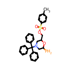 Cc1ccc(S(=O)(=O)OCC2CN(C(c3ccccc3)(c3ccccc3)c3ccccc3)CC(P)O2)cc1